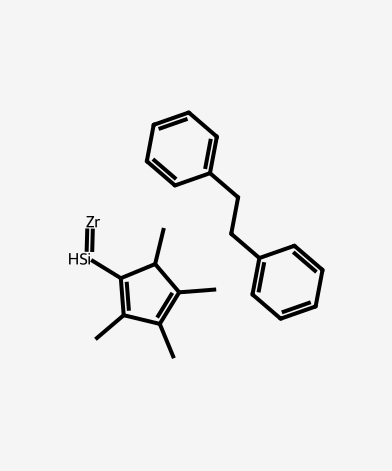 CC1=C(C)C(C)C([SiH]=[Zr])=C1C.c1ccc(CCc2ccccc2)cc1